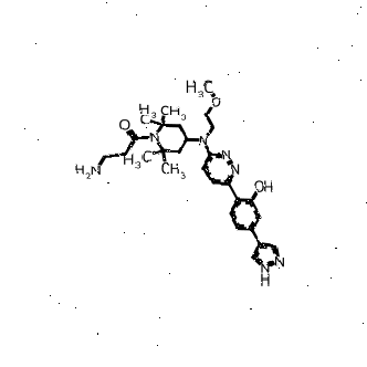 COCCN(c1ccc(-c2ccc(-c3cn[nH]c3)cc2O)nn1)C1CC(C)(C)N(C(=O)CCN)C(C)(C)C1